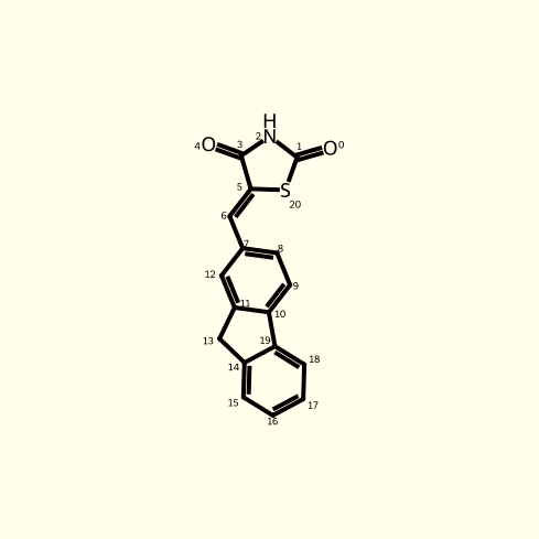 O=C1NC(=O)/C(=C/c2ccc3c(c2)Cc2ccccc2-3)S1